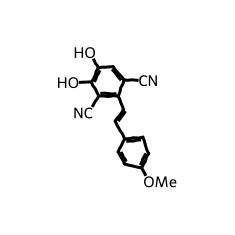 COc1ccc(/C=C/c2c(C#N)cc(O)c(O)c2C#N)cc1